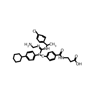 CC(N/C(=N/CN)N(Cc1ccc(C(=O)NCCC(=O)O)cc1)c1ccc(C2CCCCC2)cc1)c1ccc(Cl)cc1